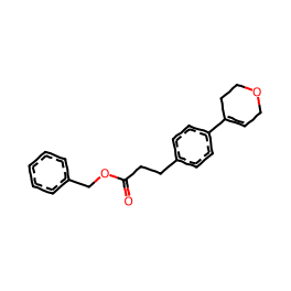 O=C(CCc1ccc(C2=CCOCC2)cc1)OCc1ccccc1